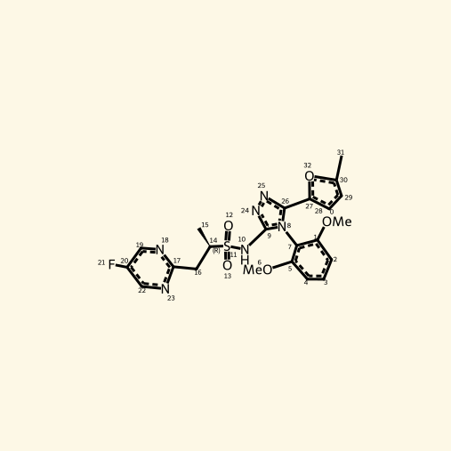 COc1cccc(OC)c1-n1c(NS(=O)(=O)[C@H](C)Cc2ncc(F)cn2)nnc1-c1ccc(C)o1